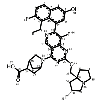 CCc1c(F)ccc2cc(O)cc(-c3ncc4c(N5CC6CC5CC6C(=O)O)nc(OC[C@@]56CCCN5C[C@H](F)C6)nc4c3F)c12